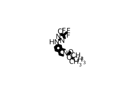 CC(C)(C)OC(=O)N1CCc2ccc(Nc3ncc(C(F)(F)F)c(Cl)n3)cc2C1